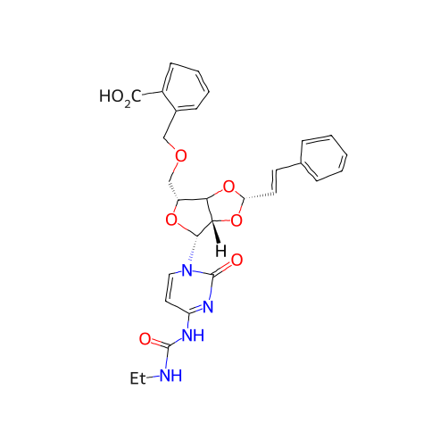 CCNC(=O)Nc1ccn([C@@H]2O[C@H](COCc3ccccc3C(=O)O)C3O[C@H](/C=C/c4ccccc4)O[C@@H]32)c(=O)n1